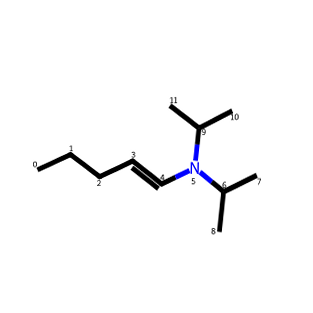 CCCC=CN(C(C)C)C(C)C